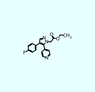 CCOC(=O)Cn1ncc(-c2ccc(F)cc2)c1-c1ccncc1